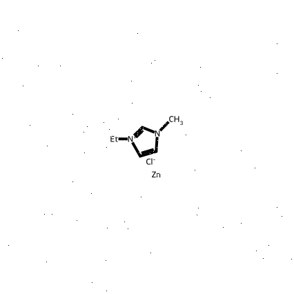 CC[n+]1ccn(C)c1.[Cl-].[Zn]